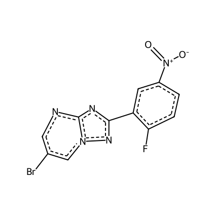 O=[N+]([O-])c1ccc(F)c(-c2nc3ncc(Br)cn3n2)c1